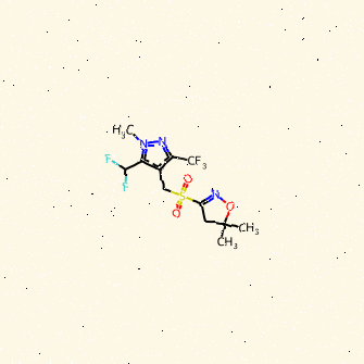 Cn1nc(C(F)(F)F)c(CS(=O)(=O)C2=NOC(C)(C)C2)c1C(F)F